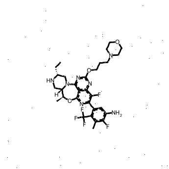 CC[C@@H]1CN2c3nc(OCCCN4CCOCC4)nc4c(F)c(-c5cc(N)c(F)c(C)c5C(F)(F)F)nc(c34)O[C@@H](C)[C@@H]2CN1